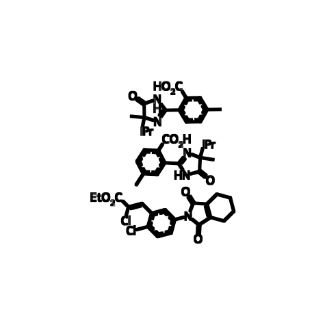 CCOC(=O)/C(Cl)=C/c1cc(N2C(=O)C3=C(CCCC3)C2=O)ccc1Cl.Cc1ccc(C(=O)O)c(C2=NC(C)(C(C)C)C(=O)N2)c1.Cc1ccc(C2=NC(C)(C(C)C)C(=O)N2)c(C(=O)O)c1